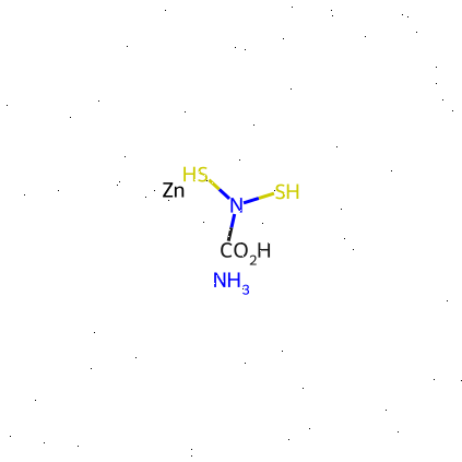 N.O=C(O)N(S)S.[Zn]